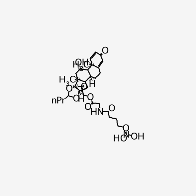 CCCC1O[C@@H]2CC3[C@@H]4CCC5=CC(=O)C=C[C@]5(C)C4[C@@H](O)C[C@]3(C)[C@]2(C(=O)COC(=O)CNC(=O)CCCON(O)O)O1